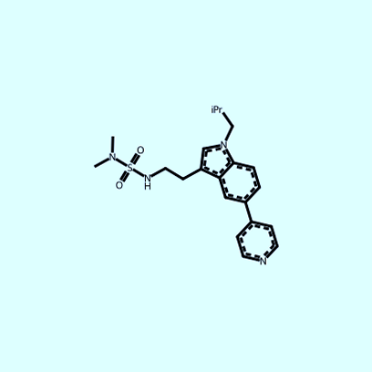 CC(C)Cn1cc(CCNS(=O)(=O)N(C)C)c2cc(-c3ccncc3)ccc21